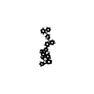 c1ccc2c(c1)Oc1cc(-c3ccc4c(c3)c3ccccc3n4-c3ccc(-n4c5ccccc5c5ccccc54)cn3)ccc1C21c2cccnc2-c2ncc(-n3c4ccccc4c4ccccc43)cc21